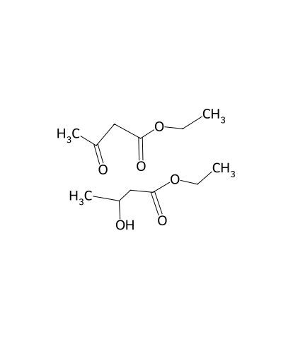 CCOC(=O)CC(C)=O.CCOC(=O)CC(C)O